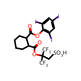 O=C(Oc1c(I)cc(I)cc1I)C1CCCCC1C(=O)OC(CS(=O)(=O)O)(C(F)(F)F)C(F)(F)F